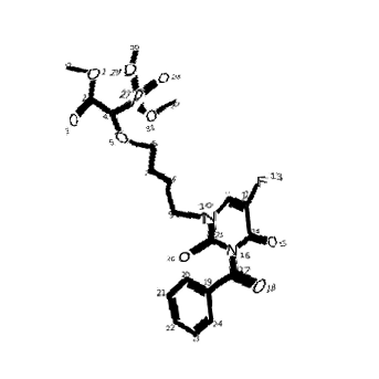 COC(=O)C(OCCCCn1cc(F)c(=O)n(C(=O)c2ccccc2)c1=O)P(=O)(OC)OC